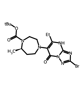 CCc1[nH]c2nc(Br)nn2c(=O)c1N1CC[C@@H](C)N(C(=O)OC(C)(C)C)CC1